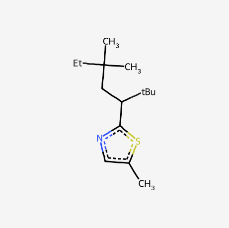 CCC(C)(C)CC(c1ncc(C)s1)C(C)(C)C